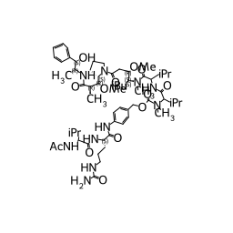 CC[C@H](C)[C@@H]([C@@H](CC(=O)N1CCC[C@H]1[C@H](OC)[C@@H](C)C(=O)N[C@H](C)[C@@H](O)c1ccccc1)OC)N(C)C(=O)C(NC(=O)C(C(C)C)N(C)C(=O)OCc1ccc(NC(=O)[C@H](CCCNC(N)=O)NC(=O)C(NC(C)=O)C(C)C)cc1)C(C)C